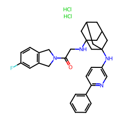 Cl.Cl.O=C(CNC12CC3CC(C1)CC(Nc1ccc(-c4ccccc4)nc1)(C3)C2)N1Cc2ccc(F)cc2C1